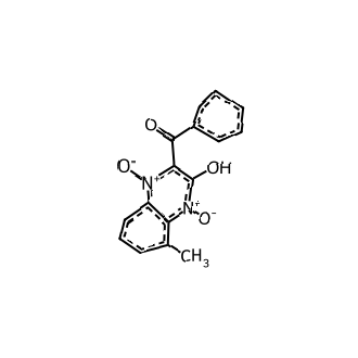 Cc1cccc2c1[n+]([O-])c(O)c(C(=O)c1ccccc1)[n+]2[O-]